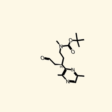 Cc1cnc(C)c([C@@H](CC=O)CCN(C)C(=O)OC(C)(C)C)n1